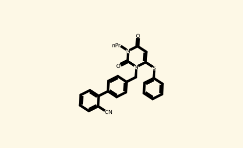 CCCn1c(=O)cc(Sc2ccccc2)n(Cc2ccc(-c3ccccc3C#N)cc2)c1=O